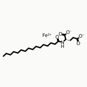 CCCCCCCCCCCCCCCC(=O)N[C@@H](CCC(=O)[O-])C(=O)[O-].[Fe+2]